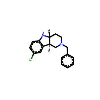 Clc1ccc2c(c1)[C@@H]1CN(Cc3ccccc3)CC[C@H]1N2